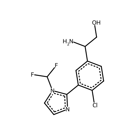 NC(CO)c1ccc(Cl)c(-c2nccn2C(F)F)c1